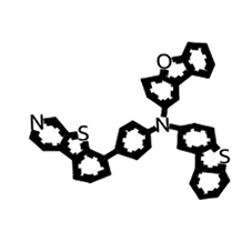 c1ccc2c(c1)oc1ccc(N(c3ccc(-c4cccc5c4sc4cnccc45)cc3)c3ccc4sc5ccccc5c4c3)cc12